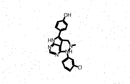 CN(C)Cc1c(-c2ccc(O)cc2)[nH]c2ncnc(Nc3cccc(Cl)c3)c12